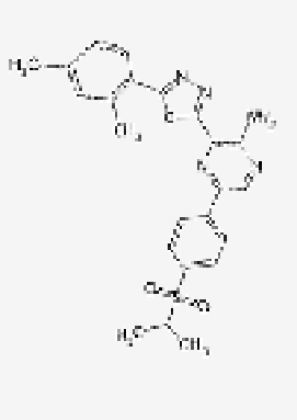 Cc1ccc(-c2nnc(-c3nc(-c4ccc(S(=O)(=O)C(C)C)cc4)cnc3N)o2)c(C)c1